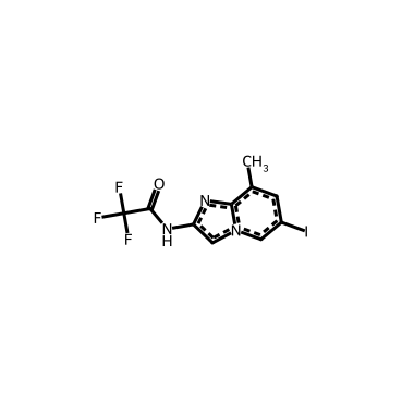 Cc1cc(I)cn2cc(NC(=O)C(F)(F)F)nc12